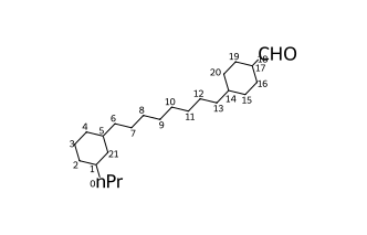 CCCC1CCCC(CCCCCCCCC2CCC(C=O)CC2)C1